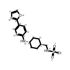 CCS(=O)(=O)NC[C@H]1CC[C@H](Nc2ccc(-c3ncco3)cn2)CC1